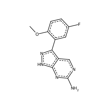 COc1ccc(F)cc1-c1n[nH]c2nc(N)ncc12